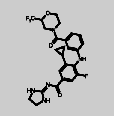 O=C(N=C1NCCN1)c1cc(F)c(Nc2cccc(C(=O)N3CCOC(C(F)(F)F)C3)c2)c(C2CC2)c1